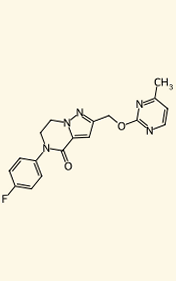 Cc1ccnc(OCc2cc3n(n2)CCN(c2ccc(F)cc2)C3=O)n1